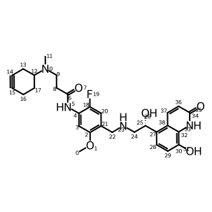 COc1cc(NC(=O)CCN(C)C2CC#CCC2)c(F)cc1CNC[C@H](O)c1ccc(O)c2[nH]c(=O)ccc12